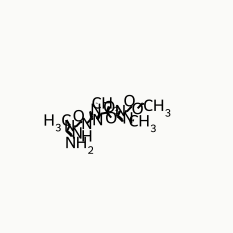 CCOC(=O)c1nc(OC(=O)c2nc(NC(=O)c3nc(N)cn3C)cn2C)cn1C